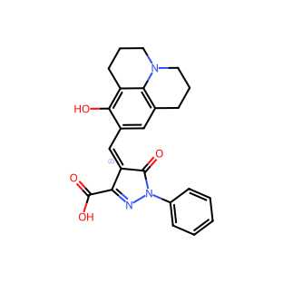 O=C(O)C1=NN(c2ccccc2)C(=O)/C1=C\c1cc2c3c(c1O)CCCN3CCC2